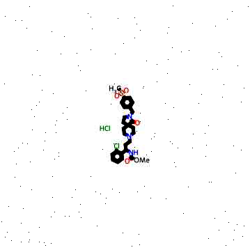 COC(=O)NC(CCN1CCC2(CC1)CCN(Cc1ccc(S(C)(=O)=O)cc1)C2=O)c1ccccc1Cl.Cl